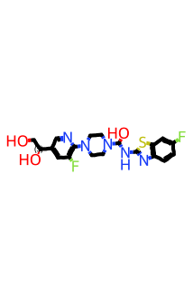 OC[C@@H](O)c1cnc(N2CCN(C(O)Nc3nc4ccc(F)cc4s3)CC2)c(F)c1